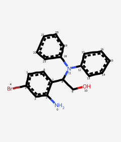 Nc1cc(Br)ccc1C(CO)N(c1ccccc1)c1ccccc1